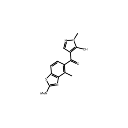 CNc1nc2c(C)c(C(=O)c3cnn(C)c3O)ccc2s1